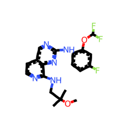 COC(C)(C)CNc1nccc2cnc(Nc3ccc(F)cc3OC(F)F)nc12